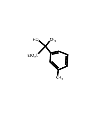 CCOC(=O)C(O)(c1cccc(C)c1)C(F)(F)F